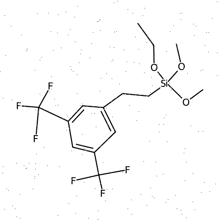 CCO[Si](CCc1cc(C(F)(F)F)cc(C(F)(F)F)c1)(OC)OC